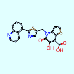 O=C(O)c1c(O)c(=O)n(Cc2cnc(-c3cccc4ncccc34)s2)c2ccsc12